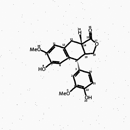 COc1cc([C@@H]2c3cc(O)c(OC)cc3C[C@@H]3C(=O)OCC23)ccc1O